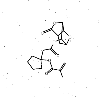 C=C(C)C(=O)OC1(CC(=O)OC2C3CC4C(=O)OC2C4O3)CCCC1